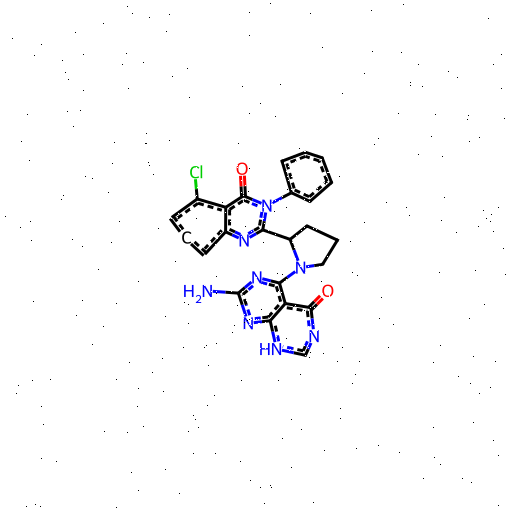 Nc1nc(N2CCCC2c2nc3cccc(Cl)c3c(=O)n2-c2ccccc2)c2c(=O)nc[nH]c2n1